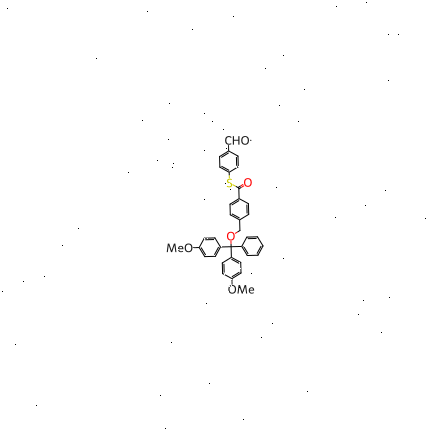 COc1ccc(C(OCc2ccc(C(=O)Sc3ccc([C]=O)cc3)cc2)(c2ccccc2)c2ccc(OC)cc2)cc1